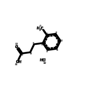 Cc1ccccc1CCC(=O)O.Cl